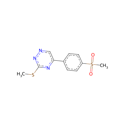 CSc1nncc(-c2ccc(S(C)(=O)=O)cc2)n1